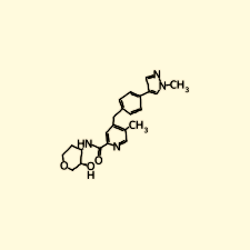 Cc1cnc(C(=O)N[C@H]2CCOC[C@@H]2O)cc1Cc1ccc(-c2cnn(C)c2)cc1